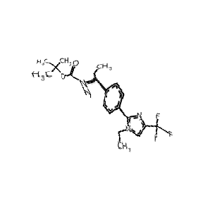 CCn1cc(C(F)(F)F)nc1-c1ccc(C(C)NC(=O)OC(C)(C)C)cc1